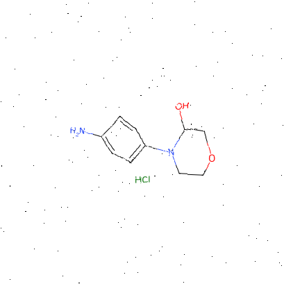 Cl.Nc1ccc(N2CCOCC2O)cc1